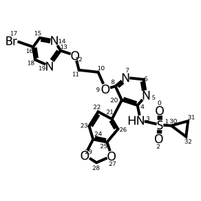 O=S(=O)(Nc1ncnc(OCCOc2ncc(Br)cn2)c1-c1ccc2c(c1)OCO2)C1CC1